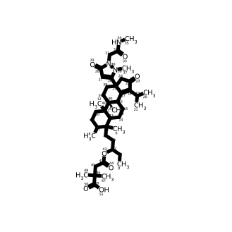 CCC(CCC1(C)C(C)CCC2(C)C1CCC1C3=C(C(C)C)C(=O)CC3(c3cc(=O)n(CC(=O)NC)n3C)CC[C@]12C)OC(=O)CC(C)(C)C(=O)O